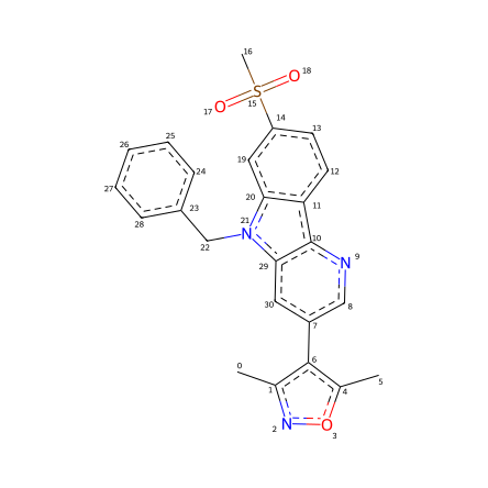 Cc1noc(C)c1-c1cnc2c3ccc(S(C)(=O)=O)cc3n(Cc3ccccc3)c2c1